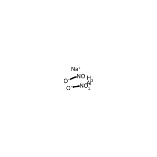 O=[N+]([O-])[O-].O=[NH+][O-].[AlH3].[Na+]